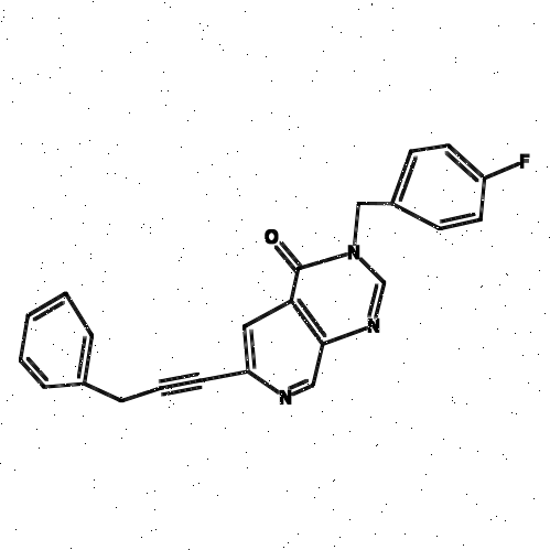 O=c1c2cc(C#CCc3ccccc3)ncc2ncn1Cc1ccc(F)cc1